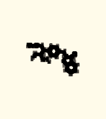 COCC(c1ccc(CN2Cc3ccccc3C2=O)cc1)C(N)CF